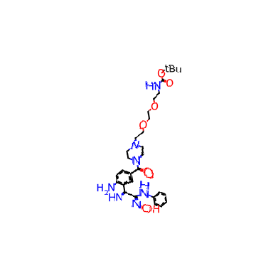 CC(C)(C)OC(=O)NCCOCCOCCN1CCN(C(=O)c2ccc(N)c(C(=N)/C(=N/O)Nc3ccccc3)c2)CC1